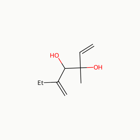 C=CC(C)(O)C(O)C(=C)CC